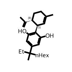 C=C(C)[C@@H]1CCC(C)=C[C@H]1c1c(O)cc(C(C)(CC)CCCCCC)cc1O